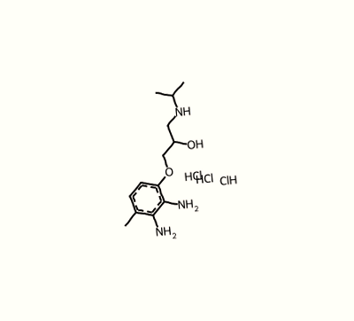 Cc1ccc(OCC(O)CNC(C)C)c(N)c1N.Cl.Cl.Cl